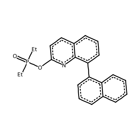 CCP(=O)(CC)Oc1ccc2cccc(-c3cccc4ccccc34)c2n1